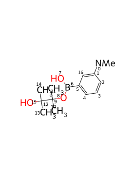 CNc1cccc(B(O)OC(C)(C)C(C)(C)O)c1